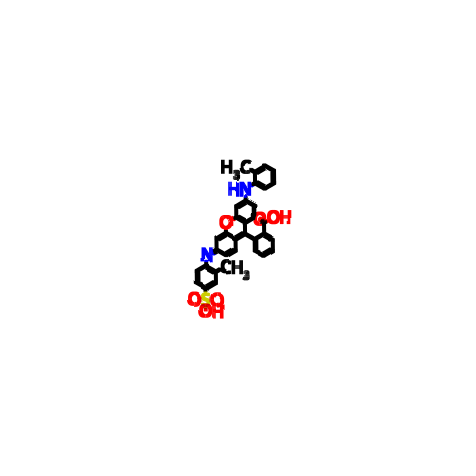 Cc1cc(S(=O)(=O)O)ccc1/N=c1\ccc2c(-c3ccccc3C(=O)O)c3ccc(Nc4ccccc4C)cc3oc-2c1